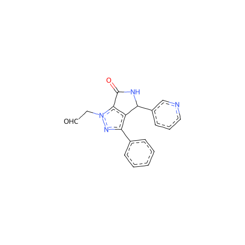 O=CCn1nc(-c2ccccc2)c2c1C(=O)NC2c1cccnc1